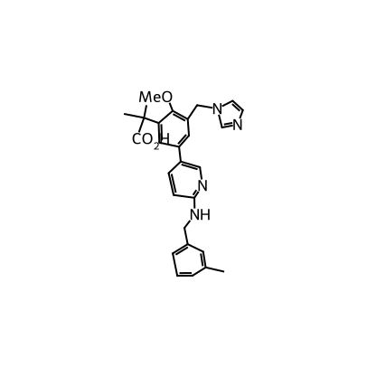 COc1c(Cn2ccnc2)cc(-c2ccc(NCc3cccc(C)c3)nc2)cc1C(C)(C)C(=O)O